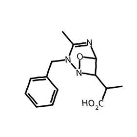 CC1=NC2ON(C2C(C)C(=O)O)N1Cc1ccccc1